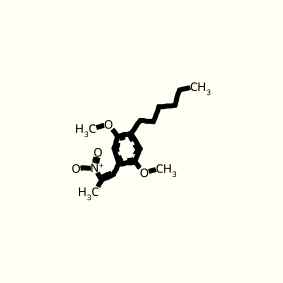 CCCCCCc1cc(OC)c(C=C(C)[N+](=O)[O-])cc1OC